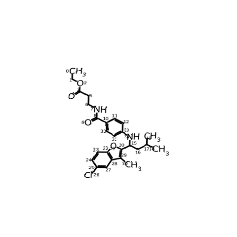 CCOC(=O)CCNC(=O)c1ccc(NC(CC(C)C)c2oc3ccc(Cl)cc3c2C)cc1